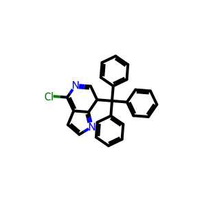 ClC1=C2C=CN=C2C(C(c2ccccc2)(c2ccccc2)c2ccccc2)C=N1